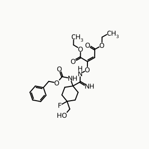 CCOC(=O)C=C(ONC(=N)C1(NC(=O)OCc2ccccc2)CCC(F)(CO)CC1)C(=O)OCC